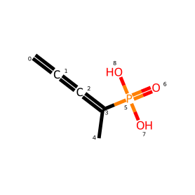 C=C=C=C(C)P(=O)(O)O